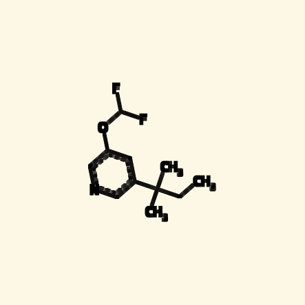 CCC(C)(C)c1cncc(OC(F)F)c1